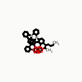 C=C(/C(=C\C=C/C)c1ccc2c(c1-c1ccccc1)c1c(-c3ccccc3)c(-c3ccccc3-c3ccccc3)ccc1n2-c1ccccc1-n1c2ccccc2c2ccccc21)c1ccccc1